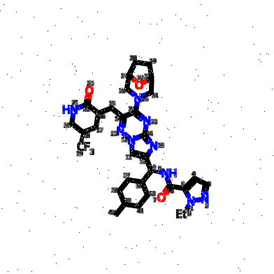 CCn1nccc1C(=O)N[C@H](c1cn2nc(CC3C[C@@H](C(F)(F)F)CNC3=O)c(N3CC4CCC(C3)O4)nc2n1)C1CCC(C)CC1